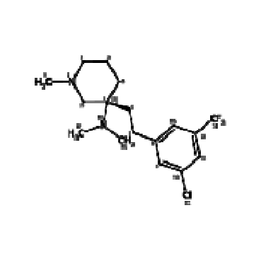 CN1CCC[C@](CCc2cc(Cl)cc(C(F)(F)F)c2)(N(C)C)C1